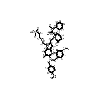 COc1ccc(CN(Cc2ccc(OC)cc2)c2nc3cc(Cn4c(C(=O)N(C)c5ccccc5)cccc4=O)n(COCC[Si](C)(C)C)c3cc2C)cc1